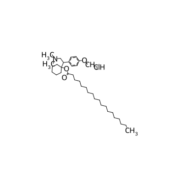 CCCCCCCCCCCCCCCCCCC(=O)OC1(C(CN(C)C)c2ccc(OC)cc2)CCCCC1.Cl